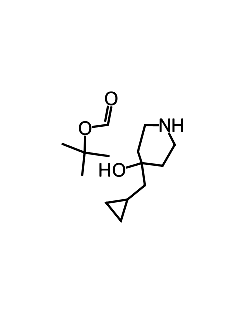 CC(C)(C)OC=O.OC1(CC2CC2)CCNCC1